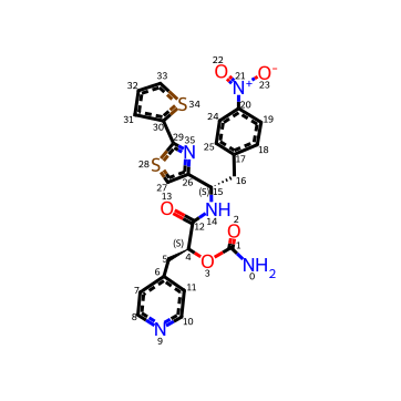 NC(=O)O[C@@H](Cc1ccncc1)C(=O)N[C@@H](Cc1ccc([N+](=O)[O-])cc1)c1csc(-c2cccs2)n1